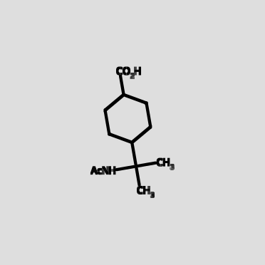 CC(=O)NC(C)(C)C1CCC(C(=O)O)CC1